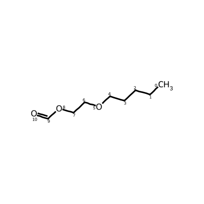 CCCCCOCCOC=O